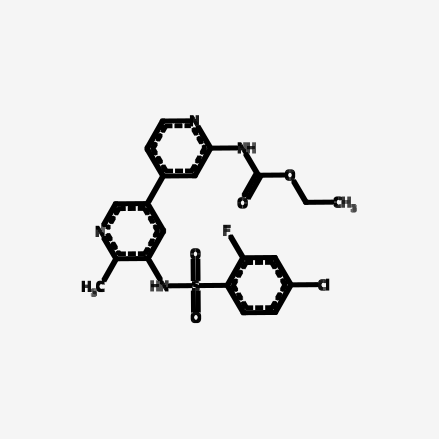 CCOC(=O)Nc1cc(-c2cnc(C)c(NS(=O)(=O)c3ccc(Cl)cc3F)c2)ccn1